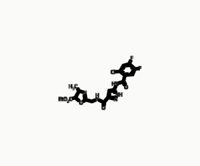 CCOC(=O)C1OC(CNC(=O)c2cc(NC(=O)c3cc(F)c(F)cc3Cl)[nH]n2)=NC1C